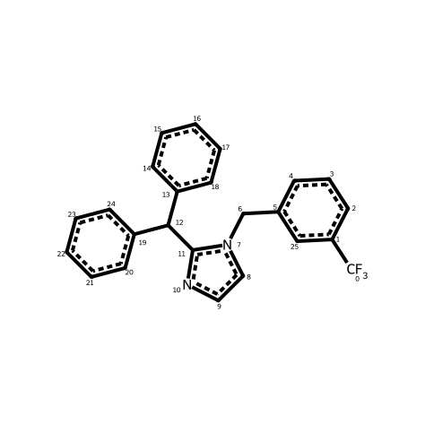 FC(F)(F)c1cccc(Cn2ccnc2C(c2ccccc2)c2ccccc2)c1